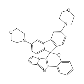 c1ccc2c(c1)OC1(c3ccc(N4CCOCC4)cc3-c3cc(N4CCOCC4)ccc31)c1c-2nc2ccccn12